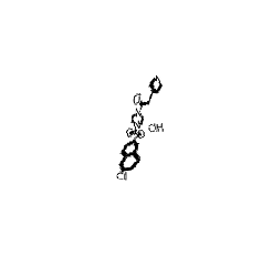 Cl.O=C(Cc1ccncc1)N1CCN(S(=O)(=O)c2ccc3cc(Cl)ccc3c2)CC1